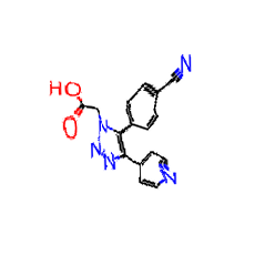 N#Cc1ccc(-c2c(-c3ccncc3)nnn2CC(=O)O)cc1